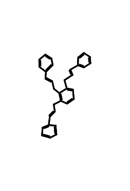 C(=C\c1ccccc1)/Cc1cccc(C/C=C/c2ccccc2)c1C/C=C/c1ccccc1